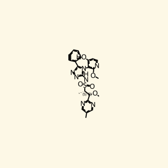 COc1nccc(O)c1-n1c(NS(=O)(=O)[C@@H](C)[C@H](OC)c2ncc(C)cn2)nnc1-c1c#cccc1